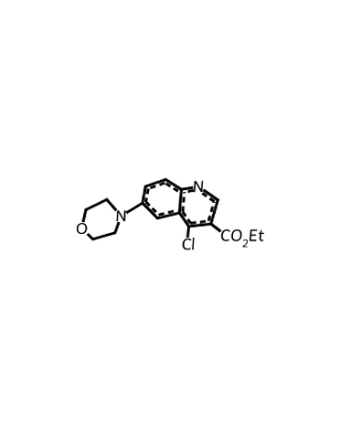 CCOC(=O)c1cnc2ccc(N3CCOCC3)cc2c1Cl